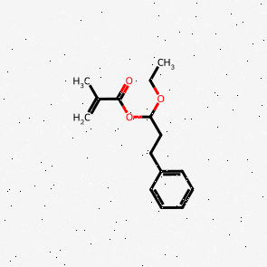 C=C(C)C(=O)OC(CCc1ccccc1)OCC